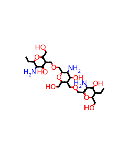 CCC1OC(CO)C(COCC2OC(CO)C(COCC3OC(CO)C(CC)C(O)C3N)C(O)C2N)C(O)C1N